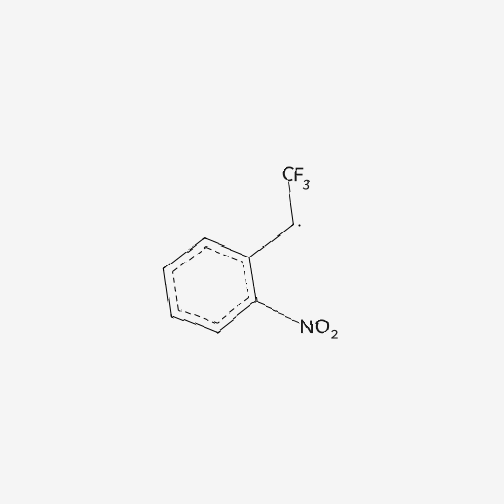 O=[N+]([O-])c1ccccc1[CH]C(F)(F)F